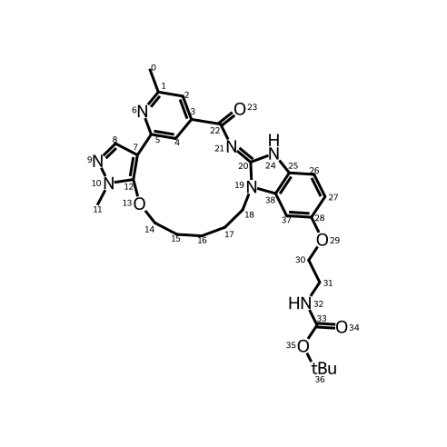 Cc1cc2cc(n1)-c1cnn(C)c1OCCCCCN1/C(=N/C2=O)Nc2ccc(OCCNC(=O)OC(C)(C)C)cc21